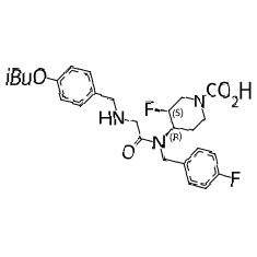 CC(C)COc1ccc(CNCC(=O)N(Cc2ccc(F)cc2)[C@@H]2CCN(C(=O)O)C[C@@H]2F)cc1